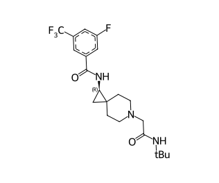 CC(C)(C)NC(=O)CN1CCC2(CC1)C[C@H]2NC(=O)c1cc(F)cc(C(F)(F)F)c1